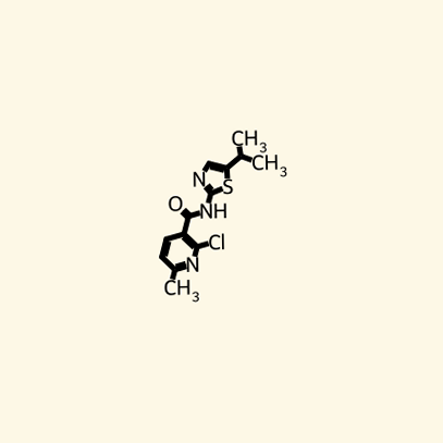 Cc1ccc(C(=O)Nc2ncc(C(C)C)s2)c(Cl)n1